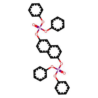 O=P(Oc1ccccc1)(Oc1ccccc1)Oc1ccc2cc(OP(=O)(Oc3ccccc3)Oc3ccccc3)ccc2c1